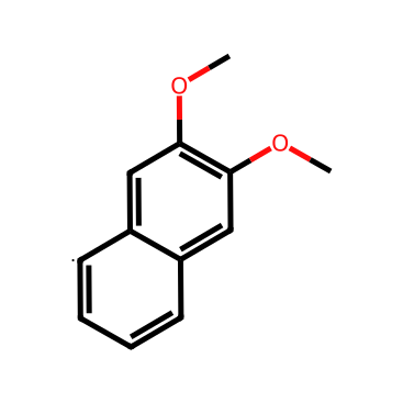 COc1cc2[c]cccc2cc1OC